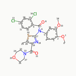 COc1ccc(N(C(=O)c2ccc(Cl)cc2Cl)c2nc(C(=O)N3CCOCC3)c(C)s2)cc1OC